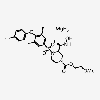 COCCOC(=O)N1CCN(S(=O)(=O)c2cc(F)c(Oc3ccc(Cl)cc3)c(F)c2)C(C(=O)NO)C1.[MgH2]